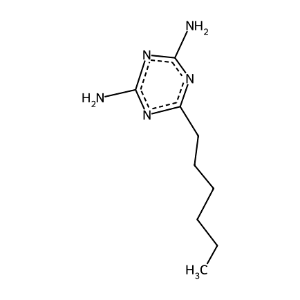 CCCCCCc1nc(N)nc(N)n1